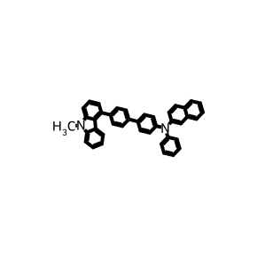 Cn1c2ccccc2c2c(-c3ccc(-c4ccc(N(c5ccccc5)c5ccc6ccccc6c5)cc4)cc3)cccc21